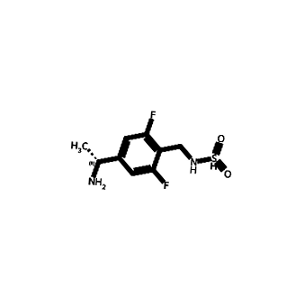 C[C@@H](N)c1cc(F)c(CN[SH](=O)=O)c(F)c1